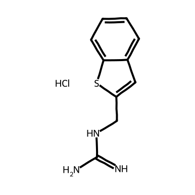 Cl.N=C(N)NCc1cc2ccccc2s1